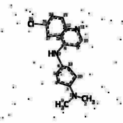 CN(C)c1ccc(Nc2[c]cnc3ccc(Cl)cc23)cc1